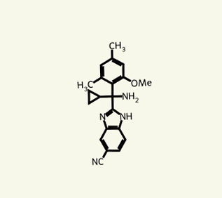 COc1cc(C)cc(C)c1C(N)(c1nc2cc(C#N)ccc2[nH]1)C1CC1